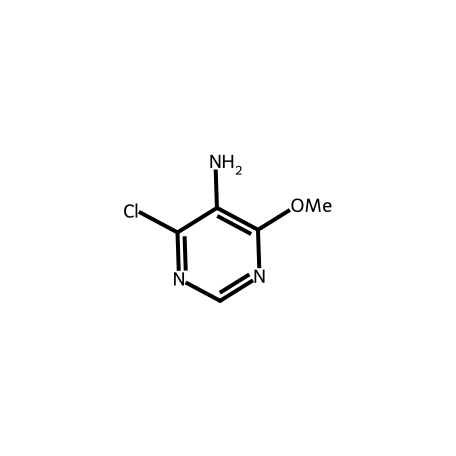 COc1ncnc(Cl)c1N